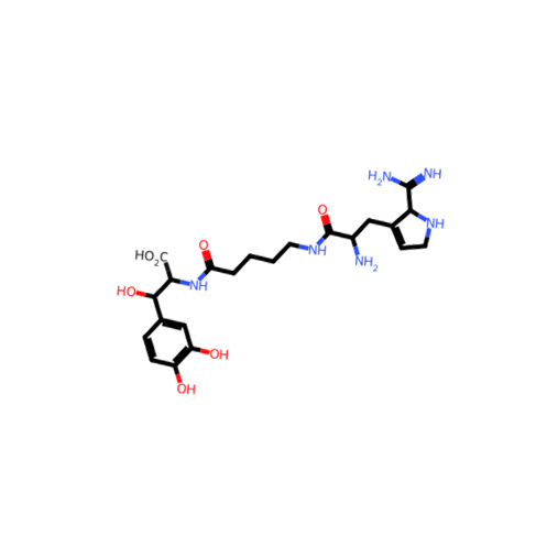 N=C(N)C1NCC=C1CC(N)C(=O)NCCCCC(=O)NC(C(=O)O)C(O)c1ccc(O)c(O)c1